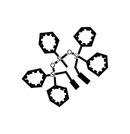 C#CC[Si](O[Si](C)(O[Si](CC#C)(c1ccccc1)c1ccccc1)c1ccccc1)(c1ccccc1)c1ccccc1